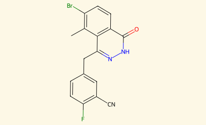 Cc1c(Br)ccc2c(=O)[nH]nc(Cc3ccc(F)c(C#N)c3)c12